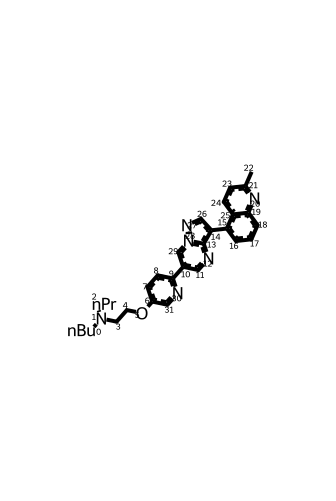 CCCCN(CCC)CCOc1ccc(-c2cnc3c(-c4cccc5nc(C)ccc45)cnn3c2)nc1